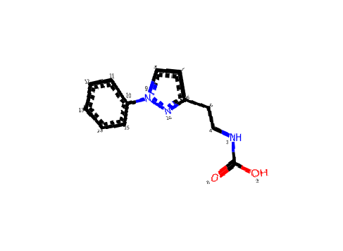 O=C(O)NCCc1ccn(-c2ccccc2)n1